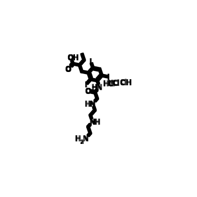 CCC(Cc1c(I)cc(I)c(NC(=O)CNCCNCCN)c1I)C(=O)O.Cl.Cl.Cl